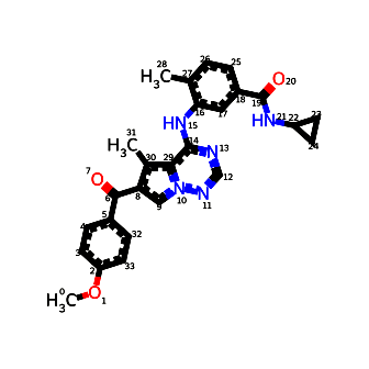 COc1ccc(C(=O)c2cn3ncnc(Nc4cc(C(=O)NC5CC5)ccc4C)c3c2C)cc1